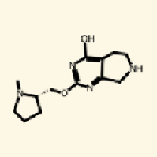 CN1CCC[C@H]1COc1nc(O)c2c(n1)CNCC2